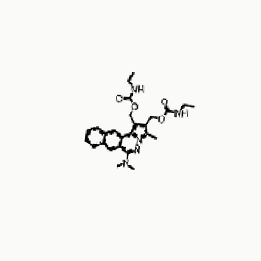 CCNC(=O)OCc1c(COC(=O)NCC)c2c3cc4ccccc4cc3c(N(C)C)nn2c1C